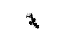 OCC(O)COc1cccc(N(c2ccccc2)c2ccc(-c3ccccc3)cc2)c1